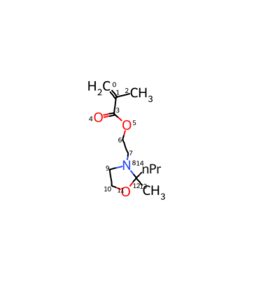 C=C(C)C(=O)OCCN1CCOC1(C)CCC